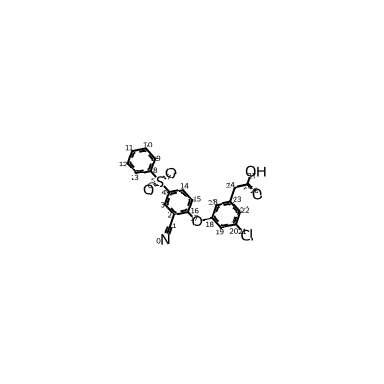 N#Cc1cc(S(=O)(=O)c2ccccc2)ccc1Oc1cc(Cl)cc(CC(=O)O)c1